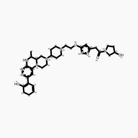 CC1Nc2nnc(C3=C(O)CCC=C3)cc2N2CCN(C3CCN(CCOc4cc(CC(=O)N5CCC(O)C5)on4)CC3)CC12